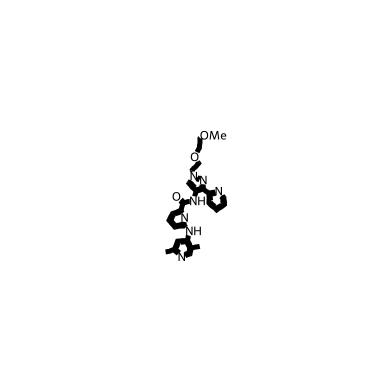 COCCOCCn1cc(NC(=O)c2cccc(Nc3cc(C)ncc3C)n2)c(-c2ccccn2)n1